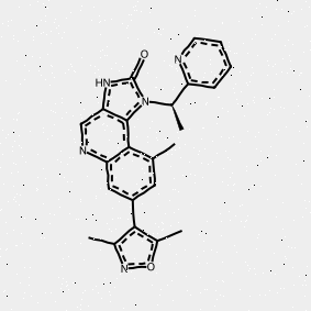 Cc1noc(C)c1-c1cc(C)c2c(c1)ncc1[nH]c(=O)n([C@H](C)c3ccccn3)c12